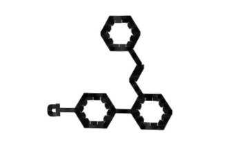 Clc1ccc(-c2ccccc2C=Cc2ccccc2)cc1